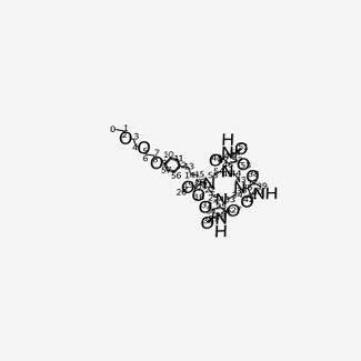 CCOCCOCCOc1ccc(CCC[C@@H](C(=O)OC)N2CCN(C3C(=O)NC(=O)C3=O)CCN(C3C(=O)CNC3=O)CCN(C3C(=O)NC(=O)C3=O)CC2)cc1